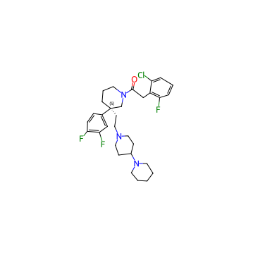 O=C(Cc1c(F)cccc1Cl)N1CCC[C@](CCN2CCC(N3CCCCC3)CC2)(c2ccc(F)c(F)c2)C1